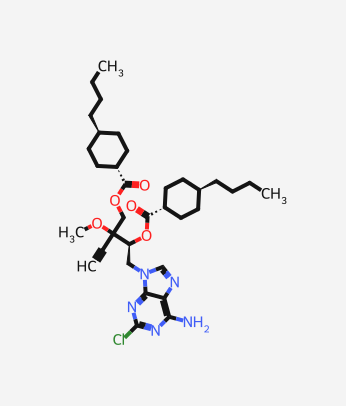 C#CC(COC(=O)[C@H]1CC[C@H](CCCC)CC1)(OC)[C@H](Cn1cnc2c(N)nc(Cl)nc21)OC(=O)[C@H]1CC[C@H](CCCC)CC1